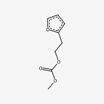 COC(=O)OCCc1ccco1